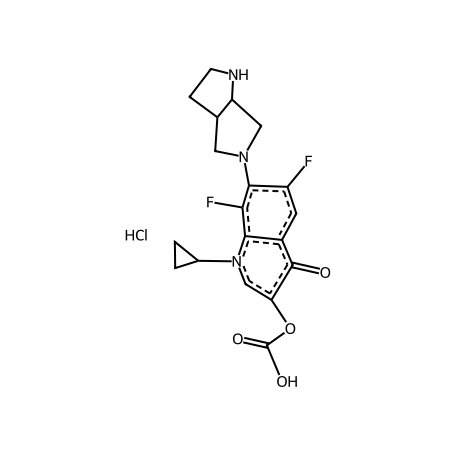 Cl.O=C(O)Oc1cn(C2CC2)c2c(F)c(N3CC4CCNC4C3)c(F)cc2c1=O